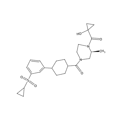 C[C@H]1CN(C(=O)C2CCC(c3cccc(S(=O)(=O)C4CC4)c3)CC2)CCN1C(=O)C1(O)CC1